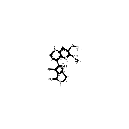 COc1cc2nccc(-c3[nH]c4c(c3I)C(=O)NCC4)c2nc1OC